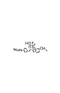 CNc1ccc(/C=C/c2cc3ccc(C)cc3o2)cc1.O=C(O)C(F)(F)F